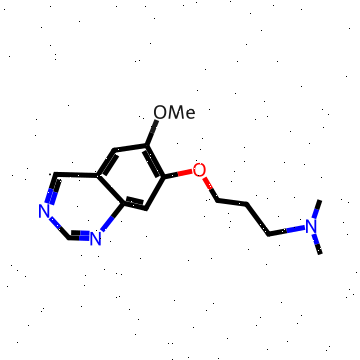 COc1cc2[c]ncnc2cc1OCCCN(C)C